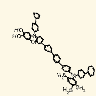 Bc1cc(B)c(N(c2ccc(-c3ccccc3)cc2)c2ccc(-c3ccc(-c4ccc(-c5ccc(N(c6ccc(-c7ccccc7)cc6)c6cc(O)c(O)cc6O)cc5)cc4)cc3)cc2)cc1B